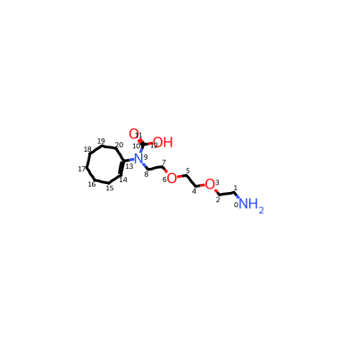 NCCOCCOCCN(C(=O)O)/C1=C/CCCCCC1